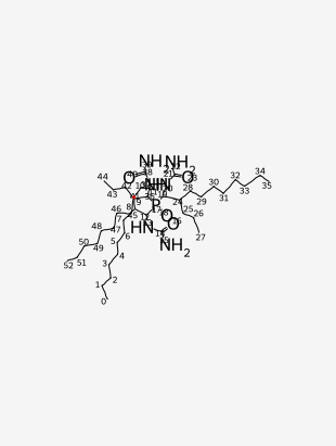 CCCCCCCCC(CCC)C(NC(N)=O)P(=O)(C(NC(N)=O)C(CCC)CCCCCCCC)C(NC(N)=O)C(CCC)CCCCCCCC